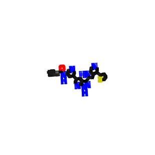 CC(C)(C)C(=O)Nc1cncc(-c2cnc3[nH]nc(-c4cc5c(-c6cccs6)cncc5[nH]4)c3c2)c1